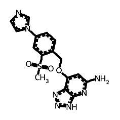 CS(=O)(=O)c1cc(-n2ccnc2)ccc1COc1cc(N)nc2[nH]nnc12